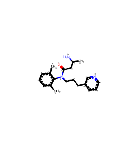 Cc1cccc(C)c1N(CCCc1cccnc1)C(=O)CC(C)N